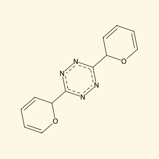 C1=COC(c2nnc(C3C=CC=CO3)nn2)C=C1